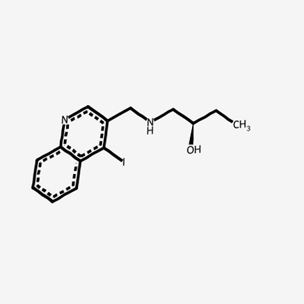 CC[C@@H](O)CNCc1cnc2ccccc2c1I